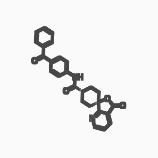 O=C(c1ccccc1)c1ccc(NC(=O)[C@H]2CC[C@]3(CC2)OC(=O)c2cccnc23)cc1